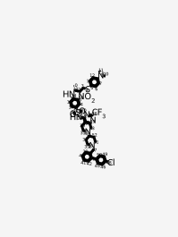 C[C@H](CCSc1ccc(N(C)C)cc1)Nc1ccc(S(=O)(=O)Nc2nc(C(F)(F)F)nc3c2CCN(C2CCN(Cc4ccccc4-c4ccc(Cl)cc4)CC2)C3)cc1[N+](=O)[O-]